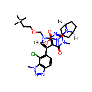 Cn1c(N2[C@@H]3CC[C@H]2C[C@@H](NC(=O)OC(C)(C)C)C3)nc2c(c(-c3ccc4nnn(C)c4c3Cl)cn2COCC[Si](C)(C)C)c1=O